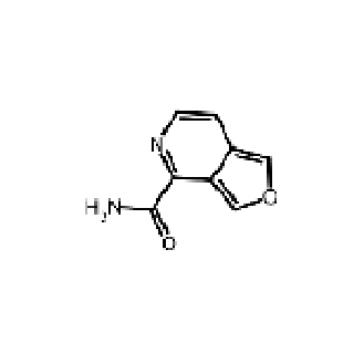 NC(=O)c1nccc2cocc12